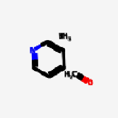 B.C=O.c1ccncc1